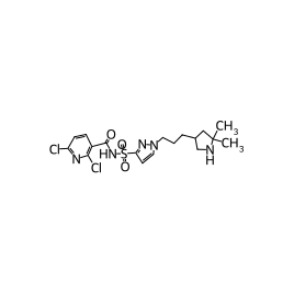 CC1(C)CC(CCCn2ccc(S(=O)(=O)NC(=O)c3ccc(Cl)nc3Cl)n2)CN1